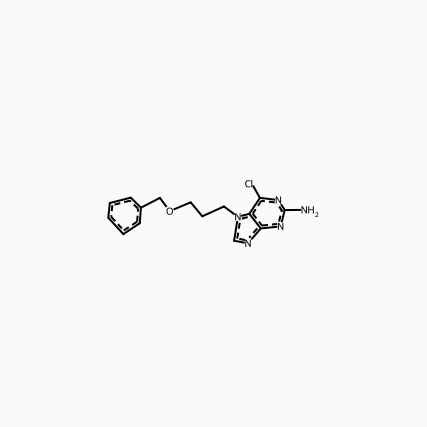 Nc1nc(Cl)c2c(ncn2CCCOCc2ccccc2)n1